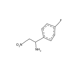 NC(C[N+](=O)[O-])c1ccc(F)cc1